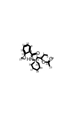 CCC(C[N+]1(NC(=O)c2ccccc2OC)CCCCC1)OC(C)=O